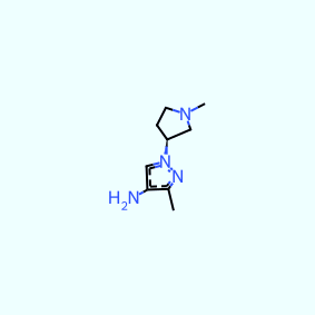 Cc1nn([C@H]2CCN(C)C2)cc1N